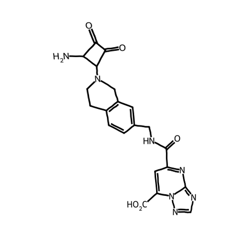 NC1C(=O)C(=O)C1N1CCc2ccc(CNC(=O)c3cc(C(=O)O)n4ncnc4n3)cc2C1